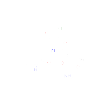 CC(C)CC(OC(N)=O)C(=O)NC(CC1CCNC1=O)C(=O)CCl